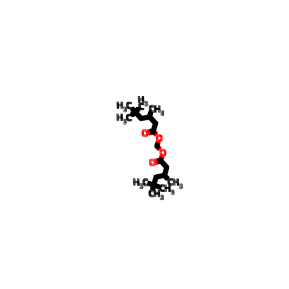 CC(CC(=O)OCOC(=O)CC(C)CC(C)(C)C)CC(C)(C)C